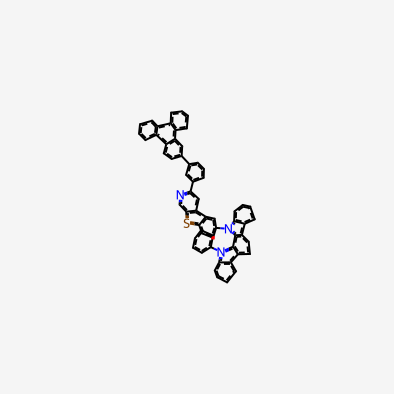 c1ccc(-n2c3ccccc3c3ccc4c5ccccc5n(-c5ccc6sc7cnc(-c8cccc(-c9ccc%10c%11ccccc%11c%11ccccc%11c%10c9)c8)cc7c6c5)c4c32)cc1